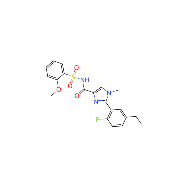 CCc1ccc(F)c(-c2nc(C(=O)NS(=O)(=O)c3ccccc3OC)cn2C)c1